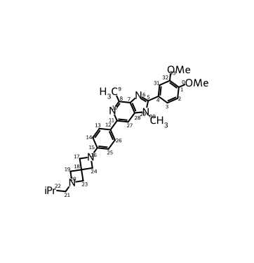 COc1ccc(-c2nc3c(C)nc(-c4ccc(N5CC6(CN(CC(C)C)C6)C5)cc4)cc3n2C)cc1OC